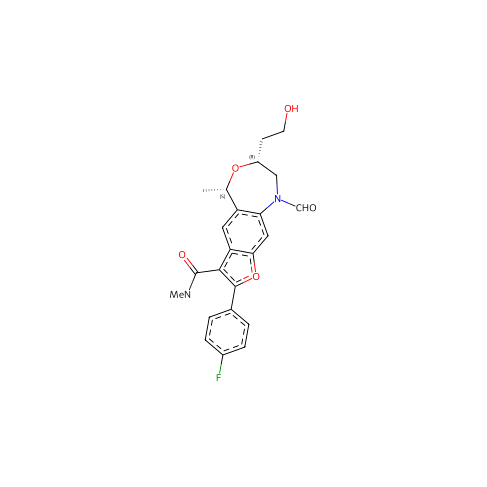 CNC(=O)c1c(-c2ccc(F)cc2)oc2cc3c(cc12)[C@H](C)O[C@H](CCO)CN3C=O